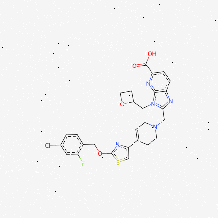 O=C(O)c1ccc2nc(CN3CC=C(c4csc(OCc5ccc(Cl)cc5F)n4)CC3)n(CC3CCO3)c2n1